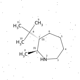 C[C@@H]1NCCCC[C@H]1C(C)(C)C